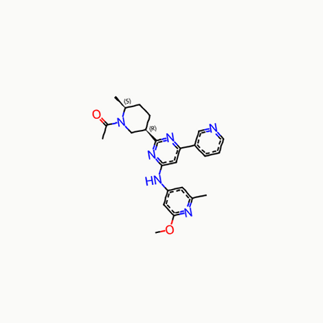 COc1cc(Nc2cc(-c3cccnc3)nc([C@@H]3CC[C@H](C)N(C(C)=O)C3)n2)cc(C)n1